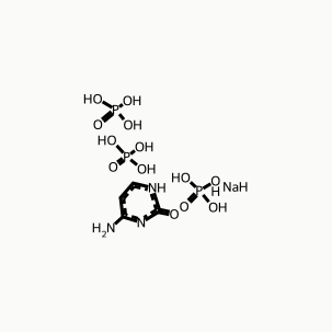 Nc1cc[nH]c(=O)n1.O=P(O)(O)O.O=P(O)(O)O.O=P(O)(O)O.[NaH]